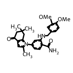 COc1ccc(CNc2cc(-n3c(C)cc4c3CC(C)(C)CC4=O)ccc2C(N)=O)cc1OC